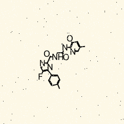 COc1cc(C)cnc1N(C)C(=O)CNC(=O)c1ncc(F)c(-c2ccc(C)cc2)n1